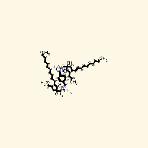 C=CCCCCCC/C=C/CCCC(C)(CCC=C)C[N+](C)(C)Cc1ccc(C[N+](C)(C)CC(C)(CC/C=C/CCCCCCC=C)CCCC=C)cc1